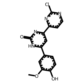 COc1cc(-c2cc(-c3ccnc(Cl)n3)nc(=O)[nH]2)ccc1O